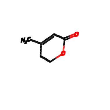 CC1=CC(=O)OCC1